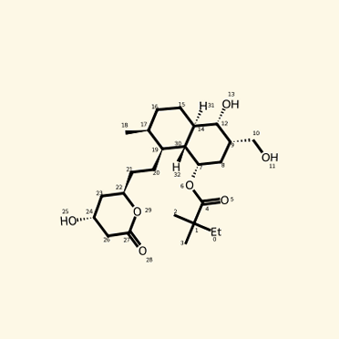 CCC(C)(C)C(=O)O[C@H]1C[C@@H](CO)[C@@H](O)[C@@H]2CC[C@H](C)[C@H](CC[C@@H]3C[C@@H](O)CC(=O)O3)[C@H]21